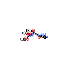 Cc1ccc(C[C@H](N)C(=O)NCCCC[C@H](NC(=O)N[C@@H](CCC(=O)OC(C)(C)C)C(=O)OC(C)(C)C)C(=O)OC(C)(C)C)cc1